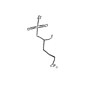 CCS(=O)(=O)CC(F)CCC(F)(F)F